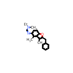 CCN(C)/C=N\c1ccc2oc(Cc3ccccc3)c(C)c2c1C